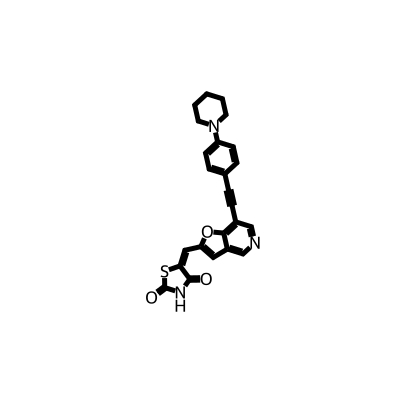 O=C1NC(=O)/C(=C\c2cc3cncc(C#Cc4ccc(N5CCCCC5)cc4)c3o2)S1